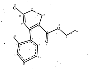 CCOC(=O)C1=C(c2ccccc2C)C=C(Cl)CC1